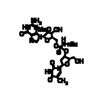 CCCCNP(=O)(OC[C@H]1O[C@@H](n2cnc3c(=O)[nH]c(N)nc32)C(OC)C1O)OC1C[C@H](n2cc(C)c(=O)[nH]c2=O)O[C@@H]1CO